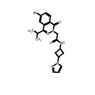 CC(C)c1nn(CC(=O)NC2CC(n3cccn3)C2)c(=O)c2ccc(Br)cc12